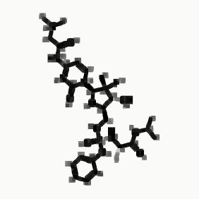 CC(C)OC(=O)[C@H](C)N[P@](=O)(OC[C@H]1O[C@@H](n2ccc(NC(=O)CN(C)C)nc2=O)[C@](C)(F)[C@@H]1O)Oc1ccccc1